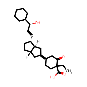 CCC1(C(=O)O)CCC(=C2C[C@@H]3CC[C@H](/C=C/[C@@H](O)C4CCCCC4)[C@H]3C2)CC1=O